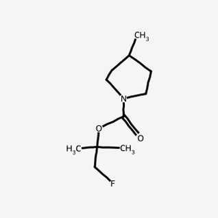 CC1CCN(C(=O)OC(C)(C)CF)CC1